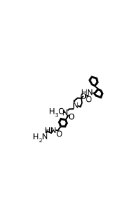 CN(CCN1CCC(OC(=O)Nc2ccccc2-c2ccccc2)CC1)C(=O)c1ccc(C(=O)NCCN)cc1